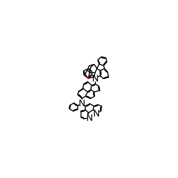 c1ccc(N(c2cccc3c2C2(c4ccccc4-3)C3CC4CC(C3)CC2C4)c2ccc3ccc4c(N(c5ccccc5)c5cc6cccnc6c6ncccc56)ccc5ccc2c3c54)cc1